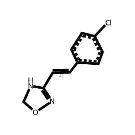 Clc1ccc(/C=C/C2=NOCN2)cc1